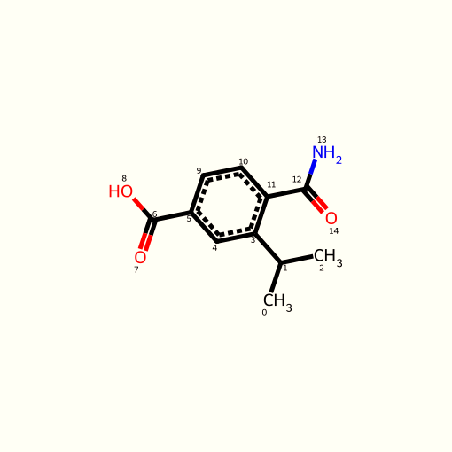 CC(C)c1cc(C(=O)O)ccc1C(N)=O